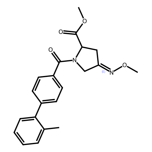 CO/N=C1\CC(C(=O)OC)N(C(=O)c2ccc(-c3ccccc3C)cc2)C1